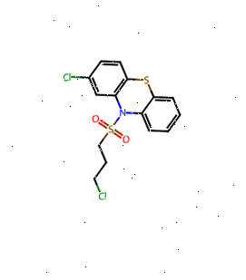 O=S(=O)(CCCCl)N1c2ccccc2Sc2ccc(Cl)cc21